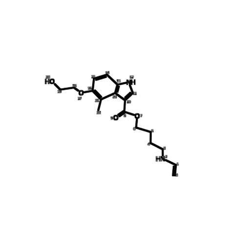 C=CNCCCCOC(=O)c1c[nH]c2ccc(OCCO)c(C)c12